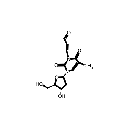 Cc1cn([C@H]2C[C@H](O)[C@@H](CO)O2)c(=O)n(/C=C/C=O)c1=O